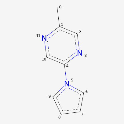 Cc1cnc(-n2cccc2)cn1